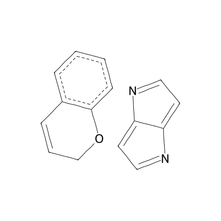 C1=Cc2ccccc2OC1.C1=NC2=CC=NC2=C1